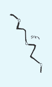 COCCOCCOC.[Sm]